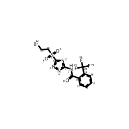 O=C(Nc1nnc(S(=O)(=O)CCBr)s1)c1ccccc1C(F)(F)F